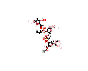 BB[C@H]1CC(OP(C)(=O)OC[C@H]2O[C@@H](B)CC2O)[C@@H](COP(C)(=O)OC2C[C@@H](B(B)B)O[C@@H]2COC(C)C)O1